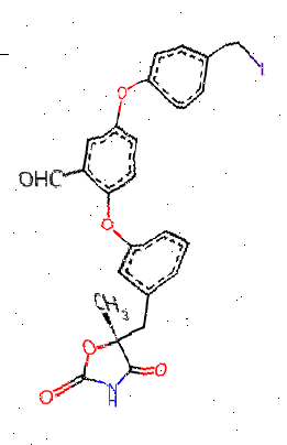 C[C@]1(Cc2cccc(Oc3ccc(Oc4ccc(CI)cc4)cc3C=O)c2)OC(=O)NC1=O